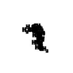 CCCCN(CC(C)C(S)Nc1ncc(C(F)(F)F)c(-c2c[nH]c3cc(SNC)ccc23)n1)C(=O)OC(C)(C)C